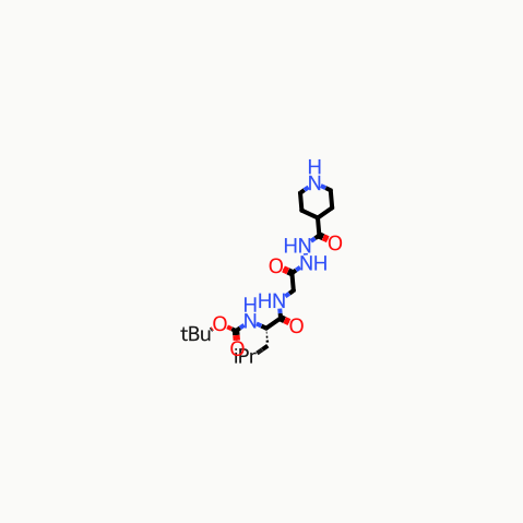 CC(C)C[C@H](NC(=O)OC(C)(C)C)C(=O)NCC(=O)NNC(=O)C1CCNCC1